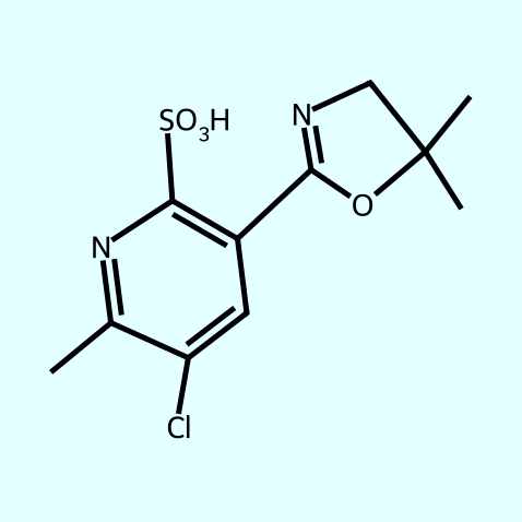 Cc1nc(S(=O)(=O)O)c(C2=NCC(C)(C)O2)cc1Cl